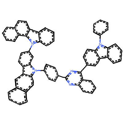 c1ccc(-n2c3ccccc3c3cc(-c4nc(-c5ccc(-n6c7cc(-n8c9ccccc9c9ccc%10ccccc%10c98)ccc7c7cc8ccccc8cc76)cc5)nc5ccccc45)ccc32)cc1